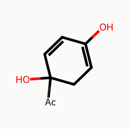 CC(=O)C1(O)C=CC(O)=CC1